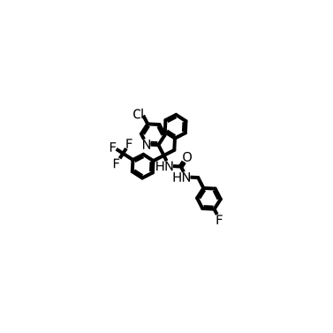 O=C(NCc1ccc(F)cc1)NC(Cc1ccccc1)(c1cccc(C(F)(F)F)c1)c1ccc(Cl)cn1